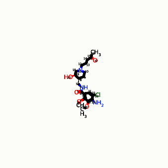 COc1c(C(=O)NC[C@H]2CCN(CCCC(C)=O)C[C@@H]2O)cc(Cl)c(N)c1OC